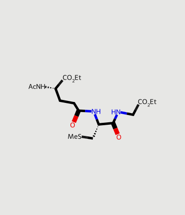 CCOC(=O)CNC(=O)[C@H](CSC)NC(=O)CC[C@H](NC(C)=O)C(=O)OCC